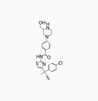 C#CC(C)(c1ccc(Cl)cc1)c1csc(NC(=O)c2ccc(N3CCNC(CO)C3)cc2)n1